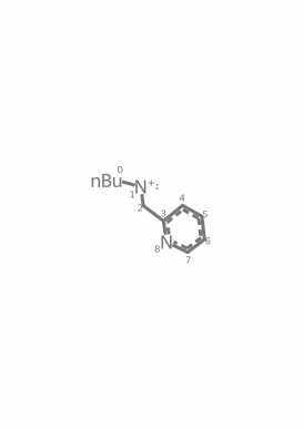 CCCC[N+]Cc1ccccn1